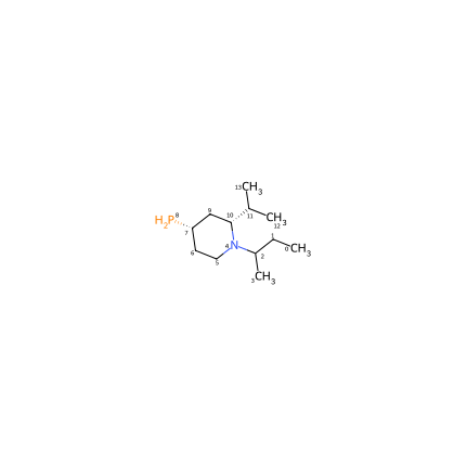 CCC(C)N1CC[C@H](P)C[C@@H]1C(C)C